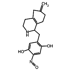 C=C1CCC2=C(CCNC2Cc2cc(O)c(N=O)cc2O)C1